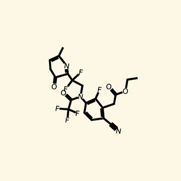 CCOC(=O)Cc1c(C#N)ccc(N(CC(F)(F)C2=NC(C)=CCC2=O)C(=O)C(F)(F)F)c1F